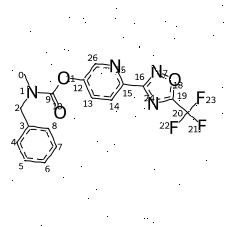 CN(Cc1ccccc1)C(=O)Oc1ccc(-c2noc(C(F)(F)F)n2)nc1